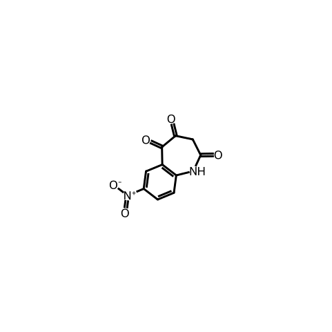 O=C1CC(=O)C(=O)c2cc([N+](=O)[O-])ccc2N1